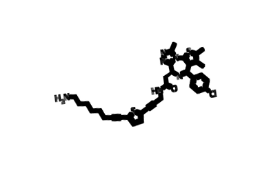 Cc1sc2c(c1C)C(c1ccc(Cl)cc1)=N[C@@H](CC(=O)NCC#Cc1ccc(C#CCCCCCCN)s1)c1nnc(C)n1-2